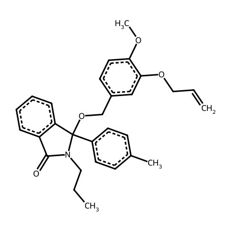 C=CCOc1cc(COC2(c3ccc(C)cc3)c3ccccc3C(=O)N2CCC)ccc1OC